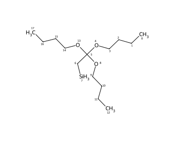 CCCCOC(C[SiH3])(OCCCC)OCCCC